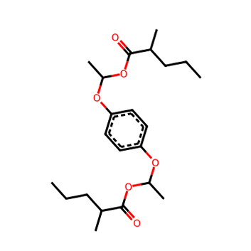 CCCC(C)C(=O)OC(C)Oc1ccc(OC(C)OC(=O)C(C)CCC)cc1